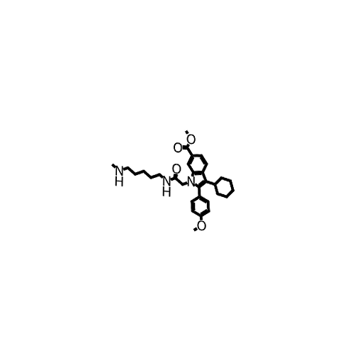 CNCCCCCNC(=O)Cn1c(-c2ccc(OC)cc2)c(C2CCCCC2)c2ccc(C(=O)OC)cc21